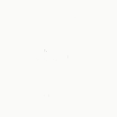 Cc1ccc(S(=O)(=O)n2ccc3cc(C4CC4)cc(C)c32)cc1